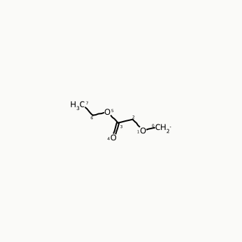 [CH2]OCC(=O)OCC